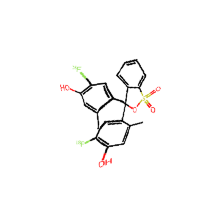 Cc1cc(O)c([18F])cc1C1(c2cc([18F])c(O)cc2C)OS(=O)(=O)c2ccccc21